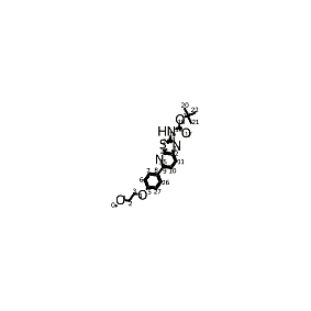 COCCOc1ccc(-c2ccc3nc(NC(=O)OC(C)(C)C)sc3n2)cc1